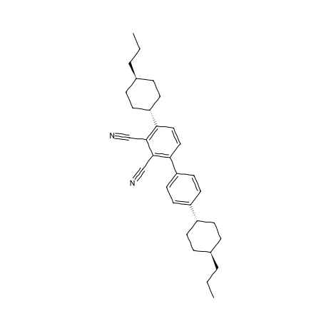 CCC[C@H]1CC[C@H](c2ccc(-c3ccc([C@H]4CC[C@H](CCC)CC4)c(C#N)c3C#N)cc2)CC1